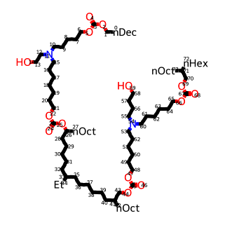 CCCCCCCCCCCOC(=O)OCCCCCN(CCO)CCCCCCCOC(=O)OC(CCCCCCCC)CCCCCC(CC)CCCCCCC(CCCCCCCC)COC(=O)OCCCCCCN(CCCCO)CCCCCCOC(=O)OCC(CCCCCC)CCCCCCCC